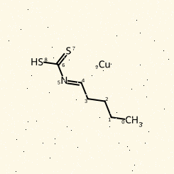 CCCCC=NC(=S)S.[Cu]